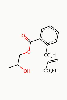 C=CC(=O)OCC.CC(O)COC(=O)c1ccccc1C(=O)O